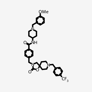 COc1cccc(CN2CCC(NC(=O)c3ccc(CN4CC5(CCN(Cc6ccc(C(F)(F)F)cc6)CC5)OC4=O)cc3)CC2)c1